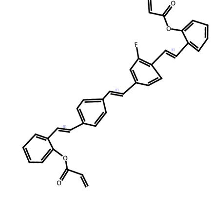 C=CC(=O)Oc1ccccc1/C=C/c1ccc(/C=C/c2ccc(/C=C/c3ccccc3OC(=O)C=C)c(F)c2)cc1